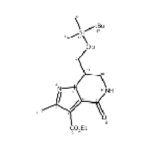 CCOC(=O)c1c(I)nn2c1C(=O)NCC2CO[Si](C)(C)C(C)(C)C